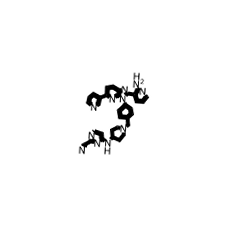 N#Cc1nccc(NC2CCN(Cc3ccc(-n4c(-c5cccnc5N)nc5ccc(-c6cccnc6)nc54)cc3)CC2)n1